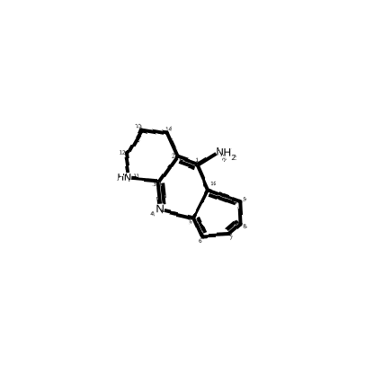 Nc1c2c(nc3ccccc13)NCCC2